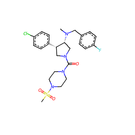 CN(Cc1ccc(F)cc1)[C@@H]1CN(C(=O)N2CCN(S(C)(=O)=O)CC2)C[C@@H]1c1ccc(Cl)cc1